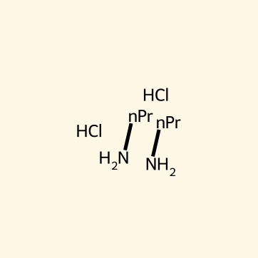 CCCN.CCCN.Cl.Cl